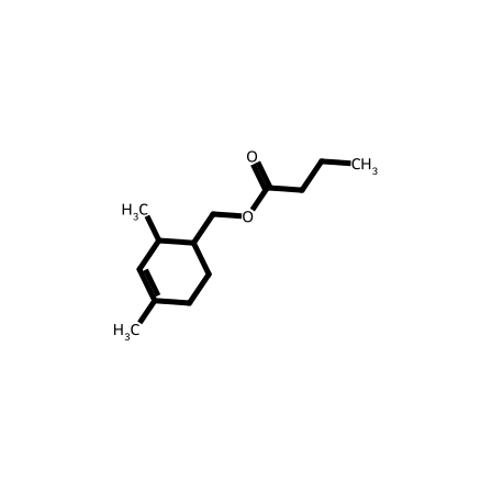 CCCC(=O)OCC1CCC(C)=CC1C